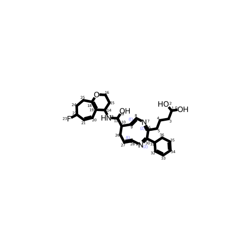 OC(O)CCCC1=N/C=C/C(C(O)NC2CCOC3=C2C=CC(F)CC3)C/C=C/N=C\1C1C=CC=CC1